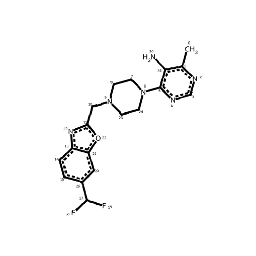 Cc1ncnc(N2CCN(Cc3nc4ccc(C(F)F)cc4o3)CC2)c1N